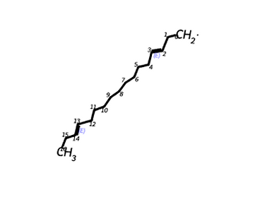 [CH2]C/C=C/CCCCCCCCC/C=C/CC